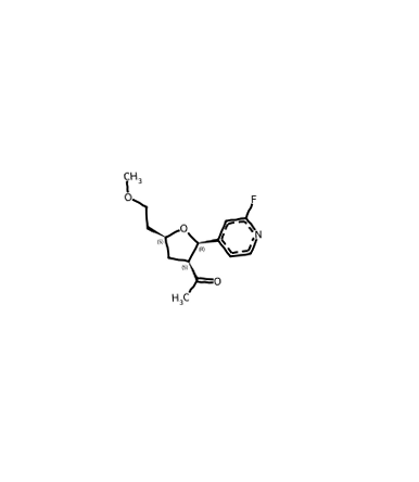 COCC[C@@H]1C[C@H](C(C)=O)[C@H](c2ccnc(F)c2)O1